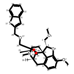 COC[C@@H]1Oc2c(OC)ccc3c2[C@@]12CCN(C)[C@H](C3)[C@]21CCC[C@@](C)(COCc2cc3ccccc3s2)C1